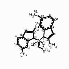 C[CH]=[Zr]([Cl])([Cl])([CH]1C(C)=Cc2ccc(C)cc21)[CH]1C(C)=Cc2ccc(C)cc21